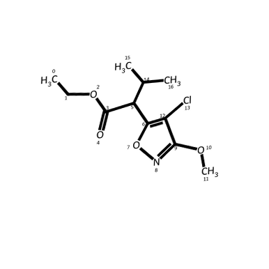 CCOC(=O)C(c1onc(OC)c1Cl)C(C)C